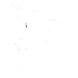 Cc1cc(C(=C(/C=C/[C@@H]2C[C@@H](O)CC(=O)O2)c2nnnn2C)c2ccc(F)c(C)c2)ccc1F